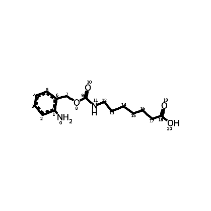 Nc1ccccc1COC(=O)NCCCCCCC(=O)O